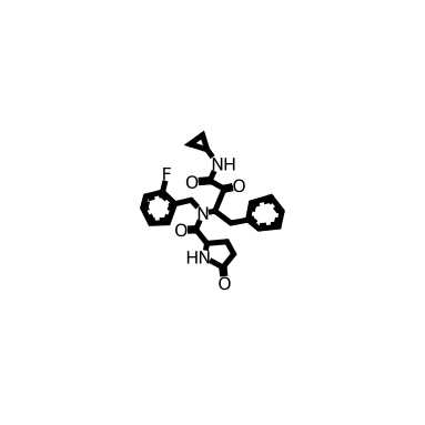 O=C1CCC(C(=O)N(Cc2ccccc2F)C(Cc2ccccc2)C(=O)C(=O)NC2CC2)N1